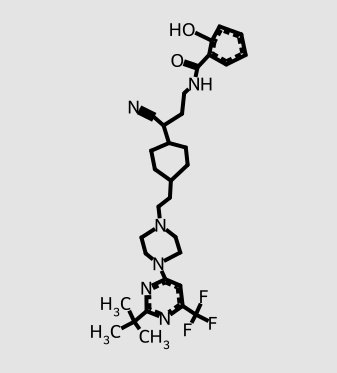 CC(C)(C)c1nc(N2CCN(CCC3CCC(C(C#N)CCNC(=O)c4ccccc4O)CC3)CC2)cc(C(F)(F)F)n1